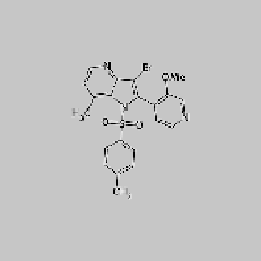 COc1cnccc1-c1c(Br)c2nccc(C)c2n1S(=O)(=O)c1ccc(C)cc1